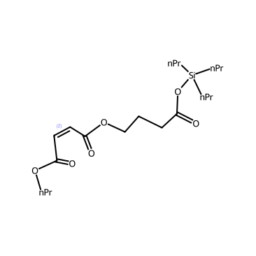 CCCOC(=O)/C=C\C(=O)OCCCC(=O)O[Si](CCC)(CCC)CCC